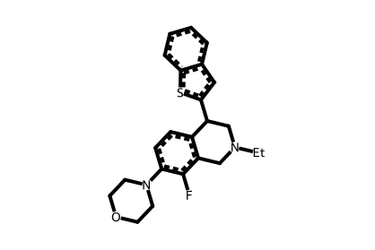 CCN1Cc2c(ccc(N3CCOCC3)c2F)C(c2cc3ccccc3s2)C1